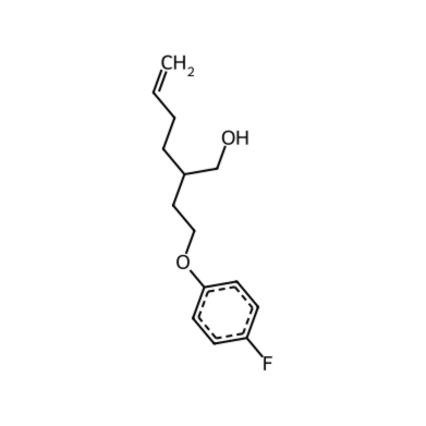 C=CCCC(CO)CCOc1ccc(F)cc1